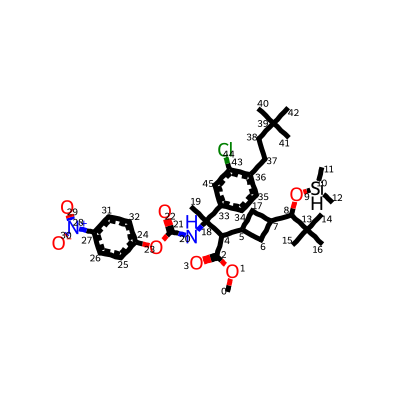 COC(=O)C(C1CC(C(O[SiH](C)C)C(C)(C)C)C1)C(C)(NC(=O)Oc1ccc([N+](=O)[O-])cc1)c1ccc(CCC(C)(C)C)c(Cl)c1